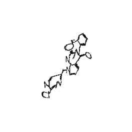 O=c1nc2n(Cc3cnc(Cl)nc3)cccc-2c(=O)n1-c1ccccc1F